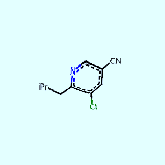 CC(C)Cc1ncc(C#N)cc1Cl